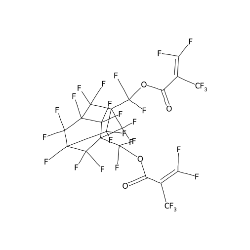 O=C(OC(F)(F)C12C(F)(F)C3(F)C(F)(F)C(F)(C1(F)F)C(F)(F)C(C(F)(F)OC(=O)C(=C(F)F)C(F)(F)F)(C3(F)F)C2(F)F)C(=C(F)F)C(F)(F)F